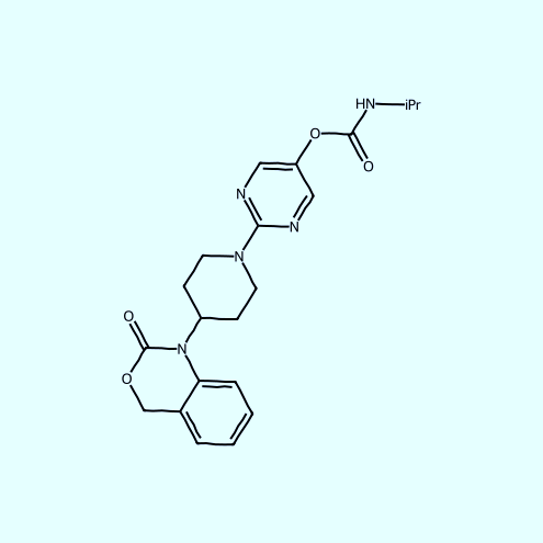 CC(C)NC(=O)Oc1cnc(N2CCC(N3C(=O)OCc4ccccc43)CC2)nc1